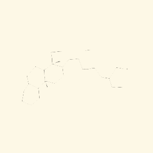 C[C@]12CC[C@H]3[C@@H](CCC4CCCC[C@@]43C)[C@@H]1CC[C@@H]2[C@H](CO)CCCC(CO)CO